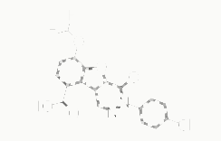 O=C(O)c1ccc(OC(F)F)c2oc3c(=O)n(-c4ccc(Cl)cc4)ncc3c12